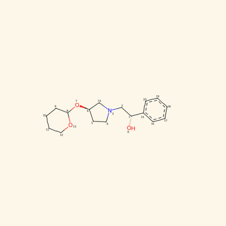 O[C@H](CN1CC[C@@H](OC2CCCCO2)C1)c1ccccc1